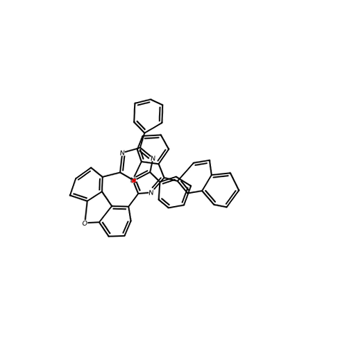 c1ccc(-c2nc(-c3ccccc3)nc(-c3cccc4oc5cccc(-c6nc(-c7ccc8ccccc8c7)c7ccccc7n6)c5c34)n2)cc1